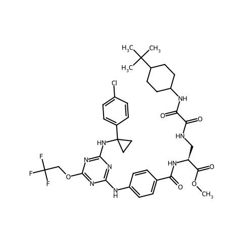 COC(=O)[C@H](CNC(=O)C(=O)NC1CCC(C(C)(C)C)CC1)NC(=O)c1ccc(Nc2nc(NC3(c4ccc(Cl)cc4)CC3)nc(OCC(F)(F)F)n2)cc1